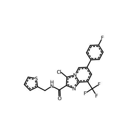 O=C(NCc1cccs1)c1nc2c(C(F)(F)F)cc(-c3ccc(F)cc3)cn2c1Cl